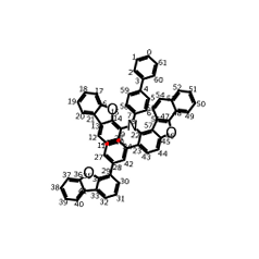 c1ccc(-c2ccc(N(c3cccc4c3oc3ccccc34)c3c(-c4cccc(-c5cccc6c5oc5ccccc56)c4)ccc4oc5c6ccccc6ccc5c34)cc2)cc1